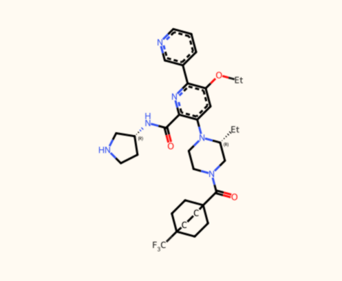 CCOc1cc(N2CCN(C(=O)C34CCC(C(F)(F)F)(CC3)CC4)C[C@H]2CC)c(C(=O)N[C@@H]2CCNC2)nc1-c1cccnc1